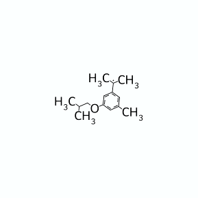 C[C](C)c1cc(C)cc(OCC(C)C)c1